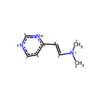 CN(C)C=Cc1ccncn1